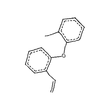 C=Cc1ccccc1Oc1ccccc1C